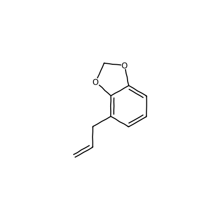 C=CCc1cccc2c1OCO2